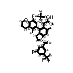 Cc1cc2c(c(-c3cc(F)c4c(c3C)CCCO4)c1[C@H](OC(C)(C)C)C(=O)O)CCN2C(=O)c1cc(F)cc(C(F)(F)F)c1